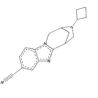 N#Cc1ccc2c(c1)nc1n2CC2CC1CN2C1CCC1